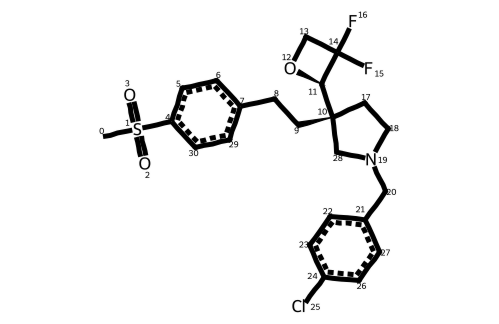 CS(=O)(=O)c1ccc(CC[C@@]2([C@H]3OCC3(F)F)CCN(Cc3ccc(Cl)cc3)C2)cc1